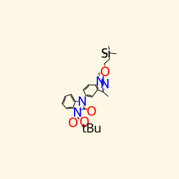 Cc1nn(COCC[Si](C)(C)C)c2ccc(-n3c(=O)n(C(=O)OC(C)(C)C)c4ccccc43)cc12